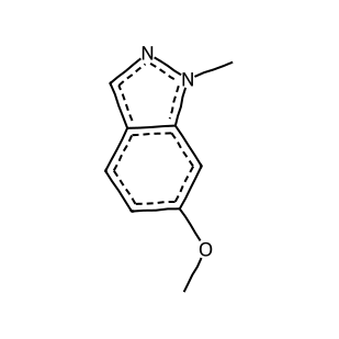 COc1ccc2cnn(C)c2c1